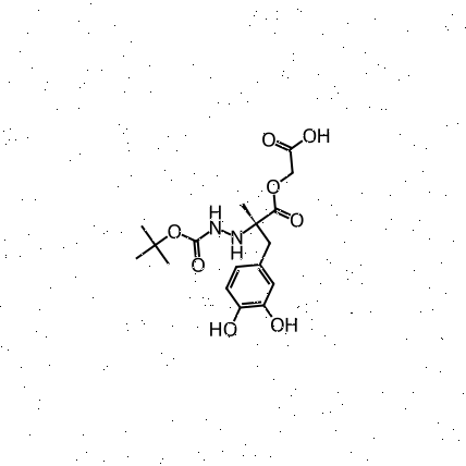 CC(C)(C)OC(=O)NN[C@@](C)(Cc1ccc(O)c(O)c1)C(=O)OCC(=O)O